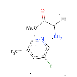 CCC(N)C(=O)OC.FC(F)(F)c1cncc(Cl)c1